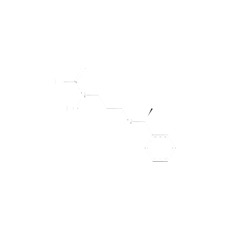 C[C@H](NCCCN(O)C(=O)O)c1ccccc1